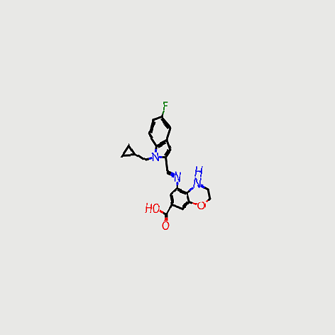 O=C(O)c1cc(/N=C/c2cc3cc(F)ccc3n2CC2CC2)c2c(c1)OCCN2